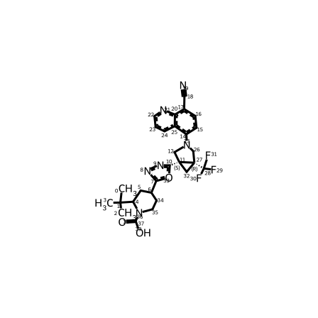 CC(C)(C)C1CC(c2nnc([C@]34CN(c5ccc(C#N)c6ncccc56)C[C@@]3(C(F)(F)F)C4)o2)CCN1C(=O)O